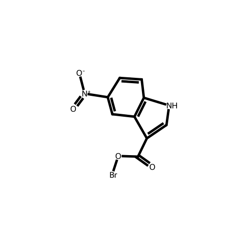 O=C(OBr)c1c[nH]c2ccc([N+](=O)[O-])cc12